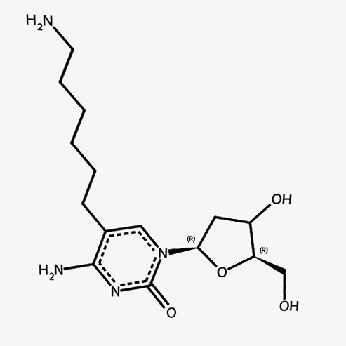 NCCCCCCc1cn([C@H]2CC(O)[C@@H](CO)O2)c(=O)nc1N